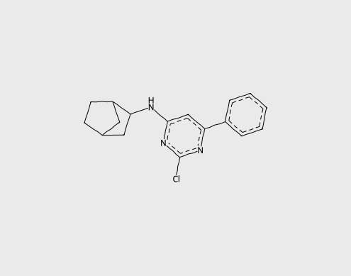 Clc1nc(NC2CC3CCC2C3)cc(-c2ccccc2)n1